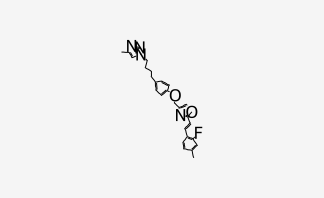 Cc1ccc(/C=C/c2nc(COc3ccc(CCCCn4cc(C)nn4)cc3)co2)c(F)c1